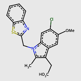 COc1cc2c(CC(=O)O)c(C)n(Cc3nc4ccccc4s3)c2cc1Cl